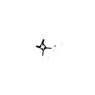 CCN(C)c1c(C(C)(C)C)c(=O)c1=O